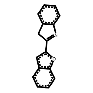 c1ccc2c(c1)CC(c1cc3ccccc3o1)=N2